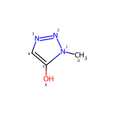 Cn1nncc1O